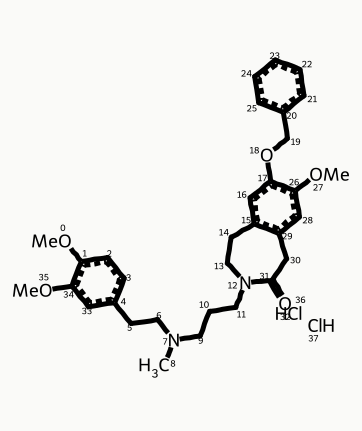 COc1ccc(CCN(C)CCCN2CCc3cc(OCc4ccccc4)c(OC)cc3CC2=O)cc1OC.Cl.Cl